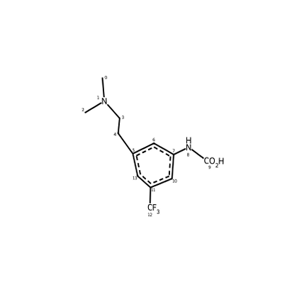 CN(C)CCc1cc(NC(=O)O)cc(C(F)(F)F)c1